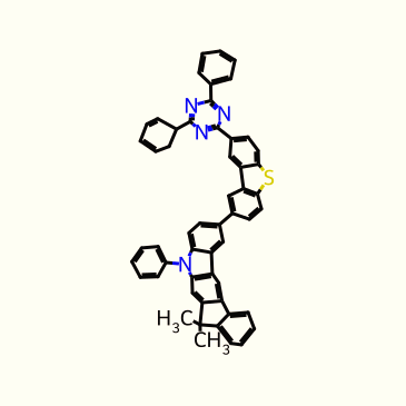 CC1(C)c2ccccc2-c2cc3c4cc(-c5ccc6sc7ccc(-c8nc(-c9ccccc9)nc(C9C=CC=CC9)n8)cc7c6c5)ccc4n(-c4ccccc4)c3cc21